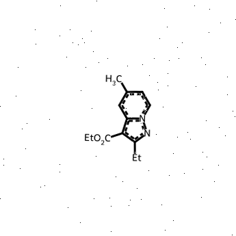 CCOC(=O)c1c(CC)nn2ccc(C)cc12